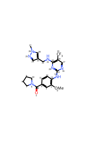 COc1cc(C(=O)N2CCCC2)ccc1Nc1ncc(C(F)(F)F)c(NCc2cnn(C)c2)n1